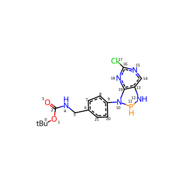 CC(C)(C)OC(=O)NCc1ccc(N2PNc3cnc(Cl)nc32)cc1